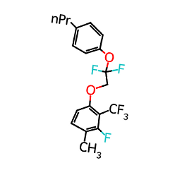 CCCc1ccc(OC(F)(F)COc2ccc(C)c(F)c2C(F)(F)F)cc1